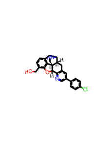 OCc1ccc2c3c1O[C@H]1c4ncc(-c5ccc(Cl)cc5)cc4C[C@H]4C(C2)NCC[C@]314